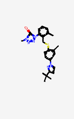 Cc1cc(-n2ccc(C(C)(C)C)n2)ccc1SCc1c(C)cccc1-n1nnn(C)c1=O